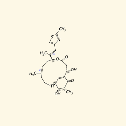 C/C1=C/C[C@@H](/C(C)=C/c2csc(C)n2)OC(=O)C[C@H](O)C2=C[C@@H](CCC1)[C@H](O)[C@@H](C)C2=O